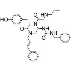 C=CCNCC(=O)N1[C@@H](NC(=O)NCc2ccccc2)CN(C/C=C/c2ccccc2)C(=O)[C@@H]1Cc1ccc(O)cc1